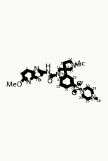 COc1ccc2nc(NC(=O)N3CC4(CCN(C(C)=O)C4)c4cc(S(=O)(=O)N5CCN(C)CC5)ccc43)sc2n1